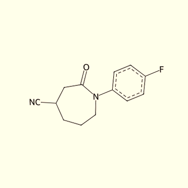 N#CC1CCCN(c2ccc(F)cc2)C(=O)C1